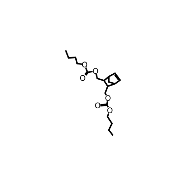 CCCCOC(=O)OCC1C2C=CC(C2)C1COC(=O)OCCCC